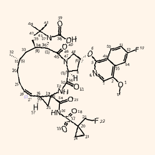 COc1cnc(O[C@@H]2C[C@H]3C(=O)N[C@]4(C(=O)NS(=O)(=O)C5(CF)CC5)C[C@H]4/C=C\CC[C@H](C)C[C@@H](C)[C@H](N(C(=O)O)C(C)(C)C)C(=O)N3C2)c2ccc(F)cc12